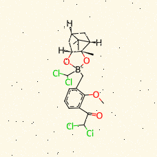 COc1c(C[B-]2(C(Cl)Cl)O[C@@H]3C[C@@H]4C[C@@H](C4(C)C)[C@]3(C)O2)cccc1C(=O)C(Cl)Cl